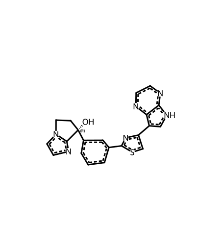 O[C@@]1(c2cccc(-c3nc(-c4c[nH]c5nccnc45)cs3)c2)CCn2ccnc21